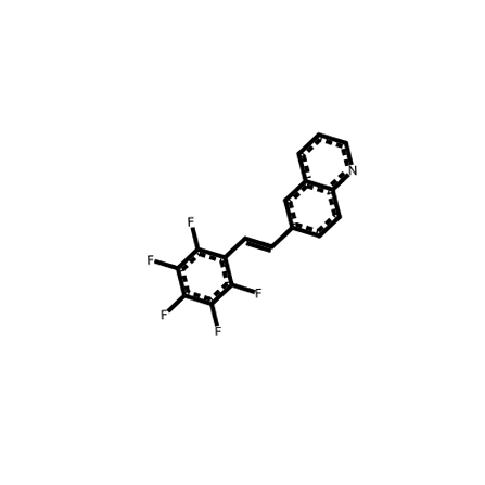 Fc1c(F)c(F)c(C=Cc2ccc3ncccc3c2)c(F)c1F